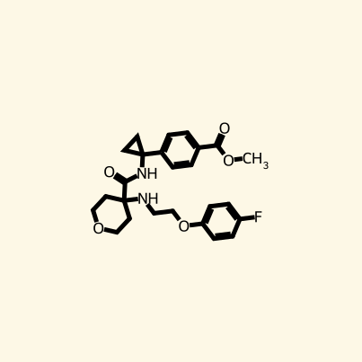 COC(=O)c1ccc(C2(NC(=O)C3(NCCOc4ccc(F)cc4)CCOCC3)CC2)cc1